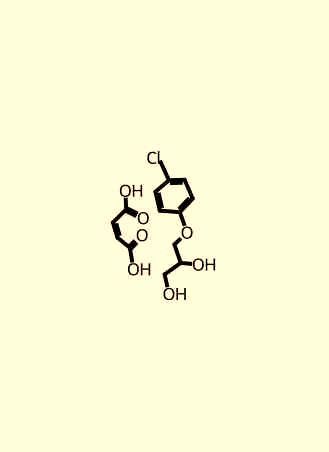 O=C(O)/C=C\C(=O)O.OCC(O)COc1ccc(Cl)cc1